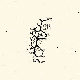 CC(=O)OC(C)[C@]1(O)CC[C@@H]2[C@@H]3CC[C@H]4C[C@@H](OC(C)=O)CC[C@]4(C)[C@H]3CC[C@@]21C